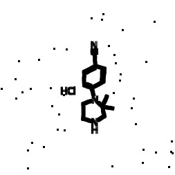 CC1(C)CNCCN1c1ccc(C#N)cc1.Cl